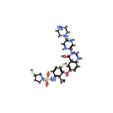 N#Cc1c(NS(=O)(=O)N2CC[C@@H](F)C2)ccc(F)c1Oc1ccc2ncn(-c3cnc(N4CCNCC4)cn3)c(=O)c2c1